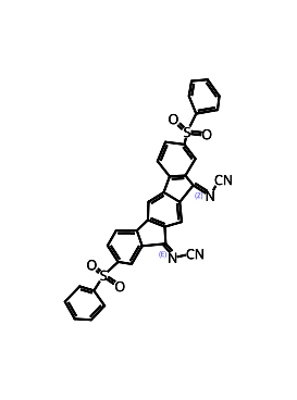 N#C/N=c1\c2cc(S(=O)(=O)c3ccccc3)ccc2c2cc3c(cc12)/c(=N\C#N)c1cc(S(=O)(=O)c2ccccc2)ccc13